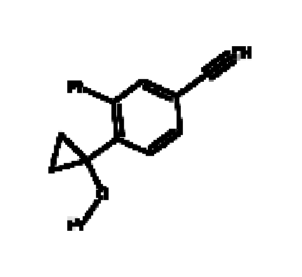 C#Cc1ccc(C2(OC(C)C)CC2)c(CC)c1